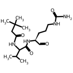 CC(C)C(NC(=O)CC(C)(C)C)C(=O)N[C@H](C=O)CCCNC(N)=O